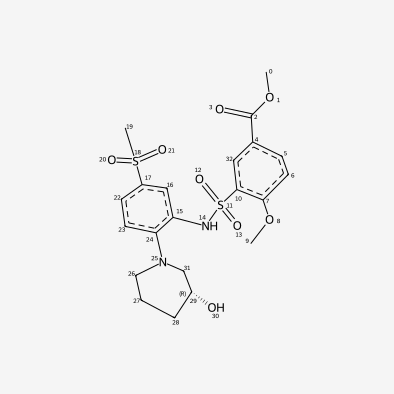 COC(=O)c1ccc(OC)c(S(=O)(=O)Nc2cc(S(C)(=O)=O)ccc2N2CCC[C@@H](O)C2)c1